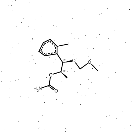 COCO[C@H](c1ccccc1I)[C@@H](C)OC(N)=O